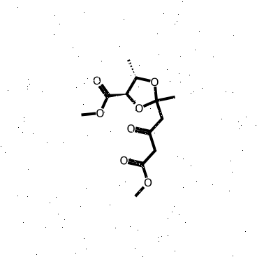 COC(=O)CC(=O)CC1(C)O[C@@H](C)[C@H](C(=O)OC)O1